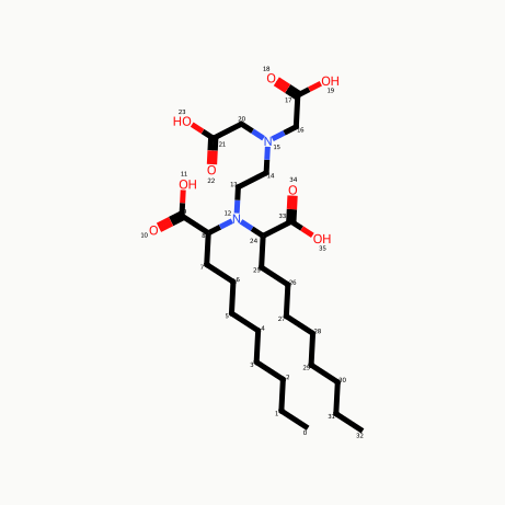 CCCCCCCCC(C(=O)O)N(CCN(CC(=O)O)CC(=O)O)C(CCCCCCCC)C(=O)O